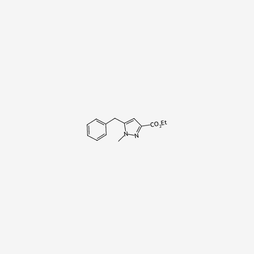 CCOC(=O)c1cc(Cc2ccccc2)n(C)n1